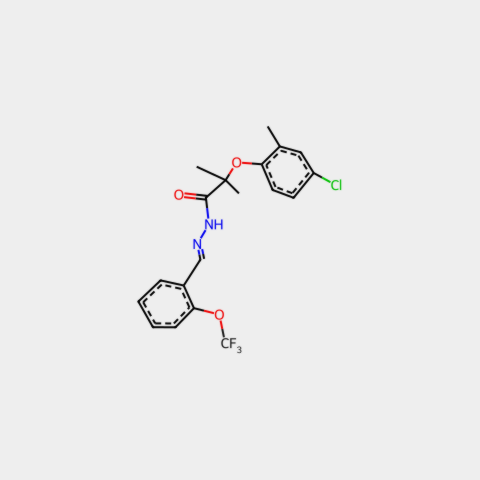 Cc1cc(Cl)ccc1OC(C)(C)C(=O)N/N=C/c1ccccc1OC(F)(F)F